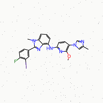 COc1nc(Nc2cccc3c2nc(-c2ccc(F)c(I)c2)n3C)ccc1-n1cnc(C)c1